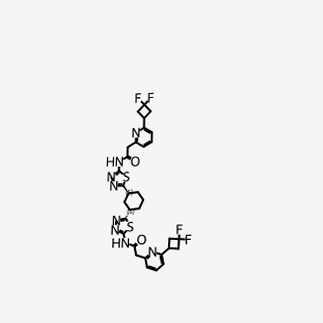 O=C(Cc1cccc(C2CC(F)(F)C2)n1)Nc1nnc([C@H]2CCC[C@H](c3nnc(NC(=O)Cc4cccc(C5CC(F)(F)C5)n4)s3)C2)s1